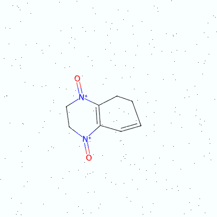 O=[N+]1CC[N+](=O)C2=C1C=CCC2